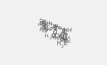 COC(=O)N[C@H](C(=O)N1CCC[C@H]1c1nc(-c2ccc(-c3nnc(-c4ccc(-c5c[nH]c([C@@H]6CCCN6C(=O)[C@@H](NC(=O)OC)C(C)C)n5)cc4)n3-c3ccc(C(C)(C)C)cc3)cc2)c[nH]1)C(C)C